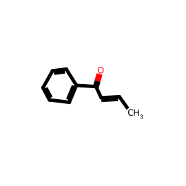 C/C=C/C(=O)c1ccccc1